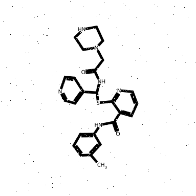 Cc1cccc(NC(=O)c2cccnc2SC(NC(=O)CN2CCNCC2)c2ccncc2)c1